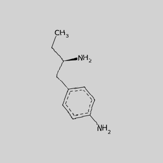 CC[C@@H](N)Cc1ccc(N)cc1